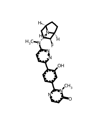 CN(c1ccc(-c2ccc(-c3nccc(=O)n3C)cc2O)nn1)[C@@H]1C[C@H]2CC[C@@H]([C@H]1F)N2C